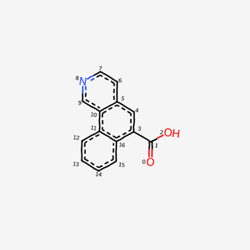 O=C(O)c1cc2ccncc2c2ccccc12